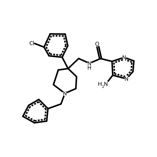 Nc1nccnc1C(=O)NCC1(c2cccc(Cl)c2)CCN(Cc2ccccc2)CC1